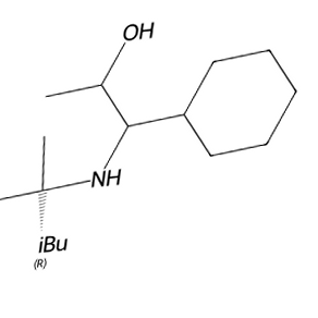 CC[C@@H](C)C(C)(C)NC(C(C)O)C1CCCCC1